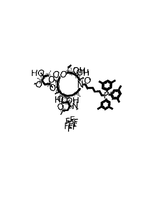 CC[C@H]1OC(=O)[C@H](C)[C@@H](O[C@H]2C[C@@](C)(OC)[C@@H](O)[C@H](C)O2)[C@H](C)[C@@H](O[C@@H]2O[C@H](C)C[C@H](N(C)C)[C@H]2O)[C@](C)(O)C[C@@H](C)CN(C(=O)CCCCC[P+](c2cc(C)cc(C)c2)(c2cc(C)cc(C)c2)c2cc(C)cc(C)c2)[C@H](C)[C@@H](O)[C@]1(C)O.F[P-](F)(F)(F)(F)F